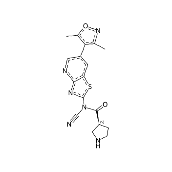 Cc1noc(C)c1-c1cnc2nc(N(C#N)C(=O)[C@H]3CCNC3)sc2c1